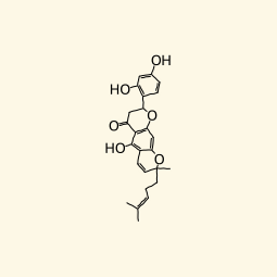 CC(C)=CCCC1(C)C=Cc2c(cc3c(c2O)C(=O)CC(c2ccc(O)cc2O)O3)O1